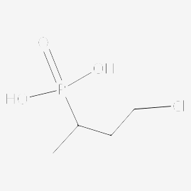 CC(CCCl)P(=O)(O)O